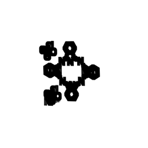 O=S(=O)([O-])Cl.O=S(=O)([O-])Cl.[Ni+2].c1ccc2c(c1)-c1nc-2nc2[nH]c(nc3nc(nc4[nH]c(n1)c1ccccc41)-c1ccccc1-3)c1ccccc21